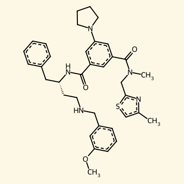 COc1cccc(CNCC[C@H](Cc2ccccc2)NC(=O)c2cc(C(=O)N(C)Cc3nc(C)cs3)cc(N3CCCC3)c2)c1